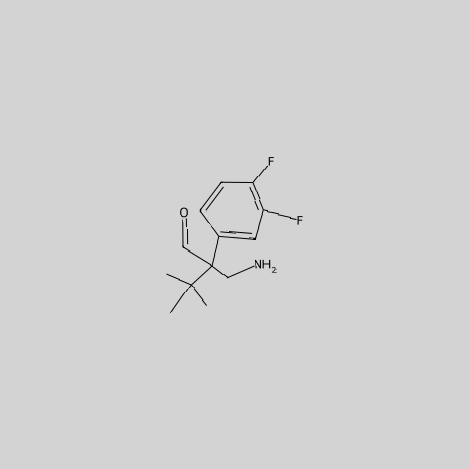 CC(C)(C)C(C=O)(CN)c1ccc(F)c(F)c1